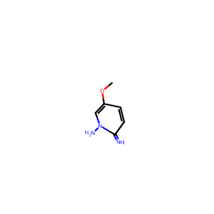 COc1ccc(=N)n(N)c1